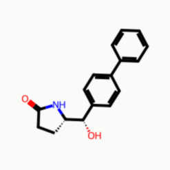 O=C1CC[C@@H]([C@@H](O)c2ccc(-c3ccccc3)cc2)N1